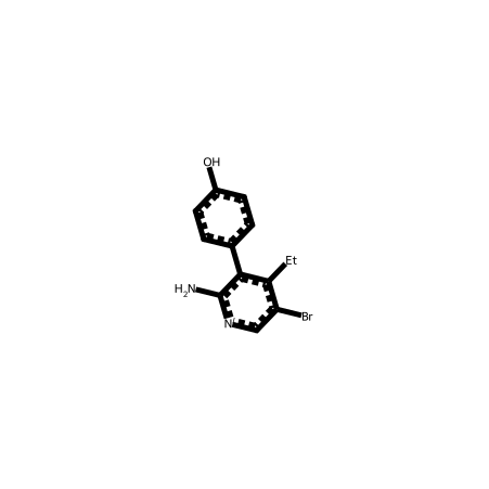 CCc1c(Br)cnc(N)c1-c1ccc(O)cc1